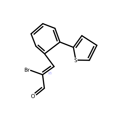 O=C/C(Br)=C/c1ccccc1-c1cccs1